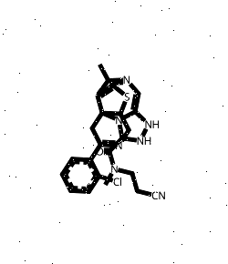 CC1=NC=C2NNC(C(=O)N(C)CCC#N)N2C23CC(c4ccccc4Cl)=NCC2SC=C13